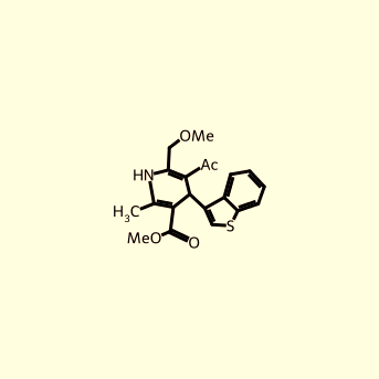 COCC1=C(C(C)=O)C(c2csc3ccccc23)C(C(=O)OC)=C(C)N1